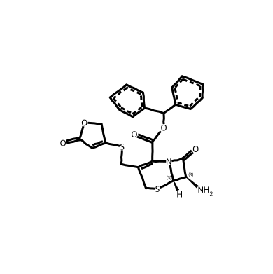 N[C@@H]1C(=O)N2C(C(=O)OC(c3ccccc3)c3ccccc3)=C(CSC3=CC(=O)OC3)CS[C@@H]12